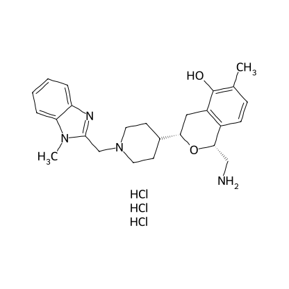 Cc1ccc2c(c1O)C[C@@H](C1CCN(Cc3nc4ccccc4n3C)CC1)O[C@H]2CN.Cl.Cl.Cl